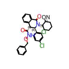 O=N[C@H]1CCCC[C@@H]1N1C(=O)c2ccccc2[C@@H](C(=O)NOCc2ccccc2)[C@@H]1c1ccc(Cl)cc1Cl